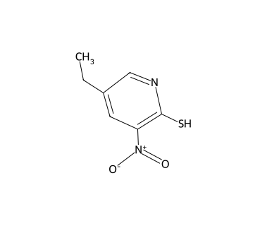 CCc1cnc(S)c([N+](=O)[O-])c1